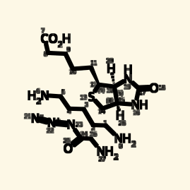 NCCCCCN.O=C(O)CCCC[C@@H]1SC[C@@H]2NC(=O)N[C@@H]21.[N-]=[N+]=NC(=O)CN